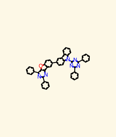 c1ccc(-c2nc(-c3ccccc3)nc(-n3c4ccccc4c4cc(-c5ccc6oc7c(-c8ccccc8)nc(-c8ccccc8)nc7c6c5)ccc43)n2)cc1